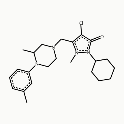 Cc1cccc(N2CCN(Cc3c(Cl)c(=O)n(C4CCCCC4)n3C)CC2C)c1